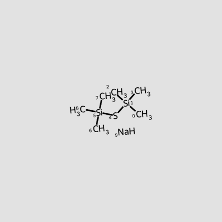 C[Si](C)(C)S[Si](C)(C)C.[NaH]